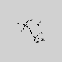 CCCCCCCCCC[N+](C)(C)CC[N+](C)(C)CCCCCCCCCC.[Cl-].[Cl-]